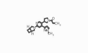 C=CC(=O)N1CCC(c2cnc(N3C[C@H]4CC[C@H]4C3)cc2-c2ccn(C)n2)C1